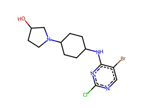 OC1CCN(C2CCC(Nc3nc(Cl)ncc3Br)CC2)C1